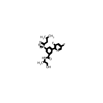 CC(C)Cc1nnnn1-c1cc(C(=O)NC(C)CO)cc(-c2ncc(F)cc2F)c1